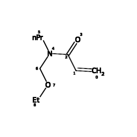 C=CC(=O)N(CCC)COCC